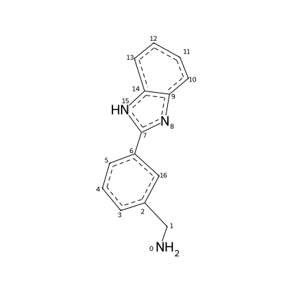 NCc1cccc(-c2nc3ccccc3[nH]2)c1